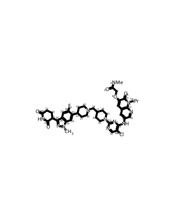 CNC(=O)COc1cc2cc(Nc3nc(N4CCC(CN5CCC(c6cc7c(cc6F)c(C6CCC(=O)NC6=O)nn7C)CC5)CC4)ncc3Cl)cnc2n(C(C)C)c1=O